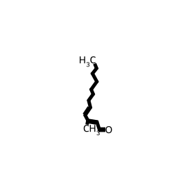 CCCCCCCC=CC(C)=CC=O